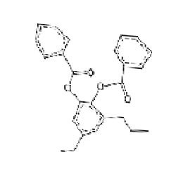 CCCc1cc(CC)cc(OC(=O)c2ccccc2)c1OC(=O)c1ccccc1